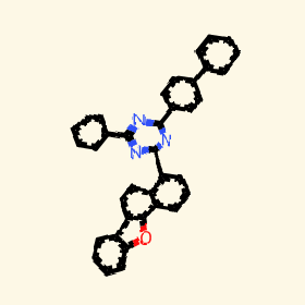 c1ccc(-c2ccc(-c3nc(-c4ccccc4)nc(-c4cccc5c4ccc4c6ccccc6oc54)n3)cc2)cc1